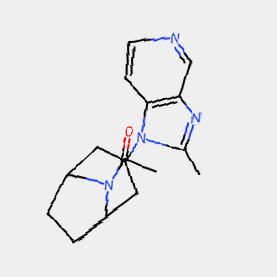 CC(=O)N1C2CCC1CC(n1c(C)nc3cnccc31)C2